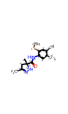 CC(C)(C)Sc1cc(C#N)c(C(F)(F)F)cc1NC(=O)C1(C)CC(C(F)(F)F)=NN1